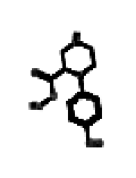 CC(C)(C)OC(=O)C1CNCCN1c1ccc(C=O)cc1